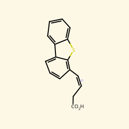 O=C(O)C/C=C\c1cccc2c1sc1ccccc12